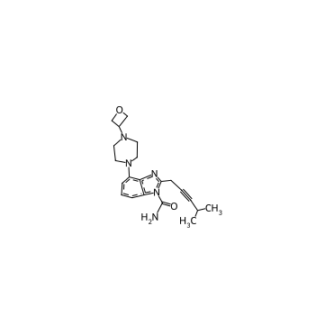 CC(C)C#CCc1nc2c(N3CCN(C4COC4)CC3)cccc2n1C(N)=O